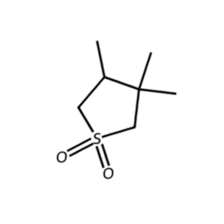 CC1CS(=O)(=O)CC1(C)C